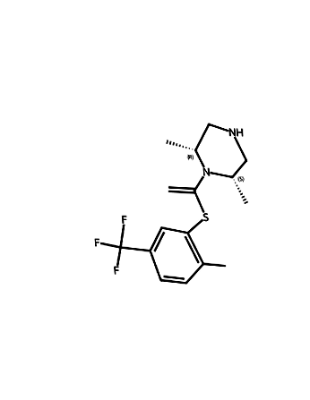 C=C(Sc1cc(C(F)(F)F)ccc1C)N1[C@H](C)CNC[C@@H]1C